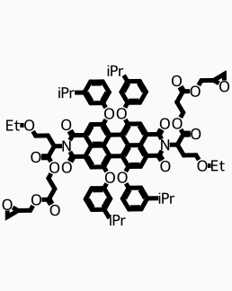 CCOCCC(C(=O)OCCC(=O)OCC1CO1)N1C(=O)c2cc(Oc3cccc(C(C)C)c3)c3c4c(Oc5cccc(C(C)C)c5)cc5c6c(cc(Oc7cccc(C(C)C)c7)c(c7c(Oc8cccc(C(C)C)c8)cc(c2c37)C1=O)c64)C(=O)N(C(CCOCC)C(=O)OCCC(=O)OCC1CO1)C5=O